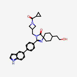 O=C(C1CC1)N1CC(CN2C(=O)C3(CCC(CCO)CC3)N=C2c2ccc(-c3ccc4[nH]ccc4c3)cc2)C1